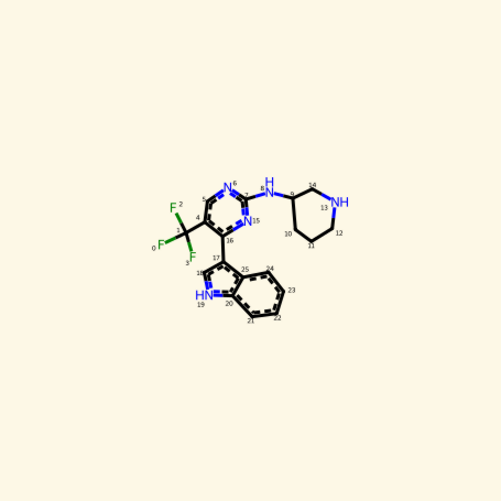 FC(F)(F)c1cnc(NC2CCCNC2)nc1-c1c[nH]c2ccccc12